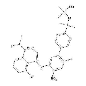 CC(C)(O[Si](C)(C)C(C)(C)C)c1ncc(-c2cc(N[C@H](CC=O)c3c(Br)cccc3OC(F)F)c([N+](=O)[O-])cc2F)cn1